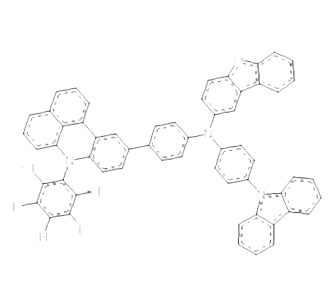 [2H]c1c([2H])c([2H])c(N2c3ccc(-c4ccc(N(c5ccc(-n6c7ccccc7c7ccccc76)cc5)c5ccc6oc7ccccc7c6c5)cc4)cc3-c3cccc4cccc2c34)c([2H])c1[2H]